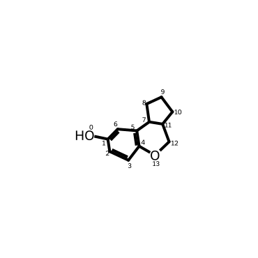 Oc1ccc2c(c1)C1CCCC1CO2